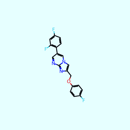 Fc1ccc(OCc2cn3cc(-c4ccc(F)cc4F)cnc3n2)cc1